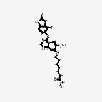 COc1cc2c(Oc3ccc4[nH]c(C)cc4c3F)ncnc2cc1OCCCCCCC(=O)NO